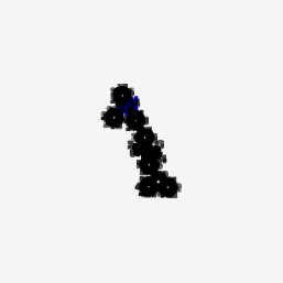 CC1(C)C2=C(c3ccc(-c4ccc(-c5nc6ccccc6n5-c5ccccc5)cc4)cc31)C(C)(C)c1cc(-c3cc4ccccc4c4ccccc34)ccc12